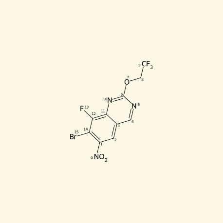 O=[N+]([O-])c1cc2cnc(OCC(F)(F)F)nc2c(F)c1Br